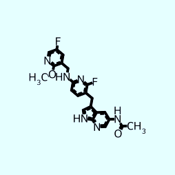 COc1ncc(F)cc1CNc1ccc(Cc2c[nH]c3ncc(NC(C)=O)cc23)c(F)n1